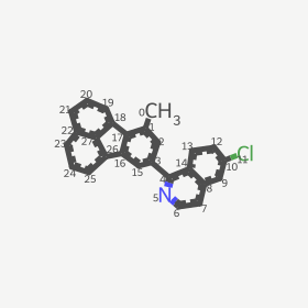 Cc1cc(-c2nccc3cc(Cl)ccc23)cc2c1-c1cccc3cccc-2c13